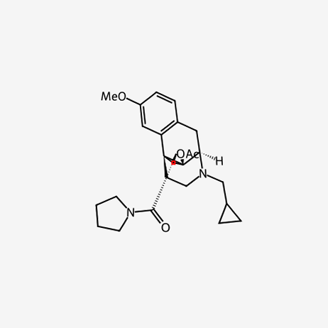 COc1ccc2c(c1)[C@]13CCN(CC4CC4)[C@H](C2)[C@]1(OC(C)=O)C[C@@H](C(=O)N1CCCC1)C3